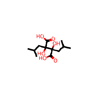 CC(C)CC(O)(C(=O)O)C(O)(CC(C)C)C(=O)O